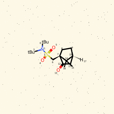 CC(C)(C)N(C(C)(C)C)S(=O)(=O)C[C@]12CC[C@@H](CC1=O)C2(C)C